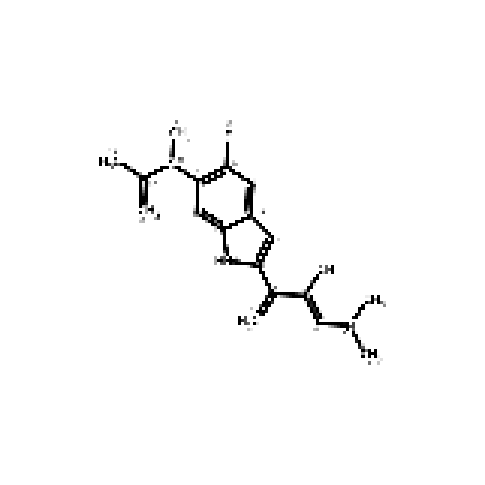 C=C(/C(C#N)=C/N(C)C)c1cc2cc(F)c(N(C)C(=C)C)cc2[nH]1